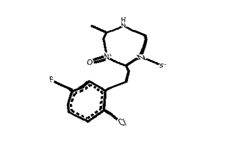 CC1NCN([S-])C(Cc2cc(F)ccc2Cl)[N+]1=O